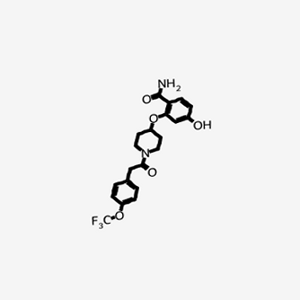 NC(=O)c1ccc(O)cc1OC1CCN(C(=O)Cc2ccc(OC(F)(F)F)cc2)CC1